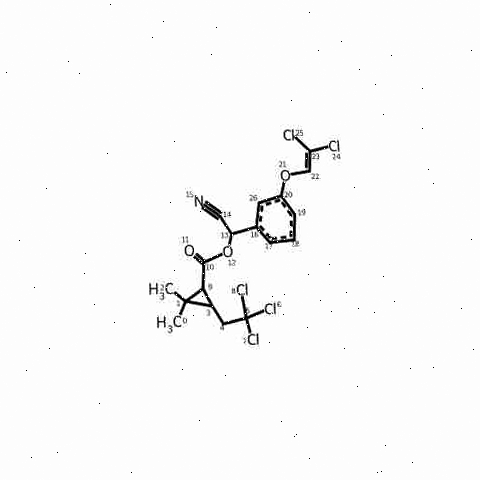 CC1(C)C(CC(Cl)(Cl)Cl)C1C(=O)OC(C#N)c1cccc(OC=C(Cl)Cl)c1